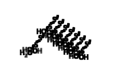 CCSCCSCC(O)O.CCSCCSCC(O)O.CCSCCSCC(O)O.CCSCCSCC(O)O.CCSCCSCC(O)O.CCSCCSCC(O)O.CCSCCSCC(O)O.CCSCCSCC(O)O.O